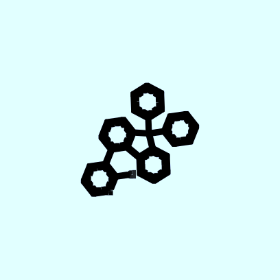 Clc1ncccc1-c1cccc2c1-c1ccccc1C2(c1ccccc1)c1ccccc1